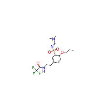 CCCOc1ccc(CCNC(=O)C(F)(F)F)cc1S(=O)(=O)N=CN(C)C